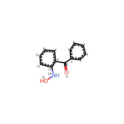 O=C(c1ccccc1)c1ccccc1NO